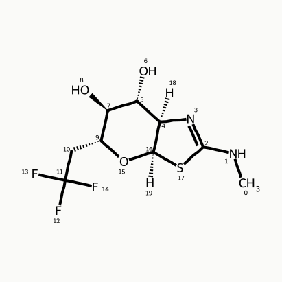 CNC1=N[C@@H]2[C@@H](O)[C@H](O)[C@@H](CC(F)(F)F)O[C@@H]2S1